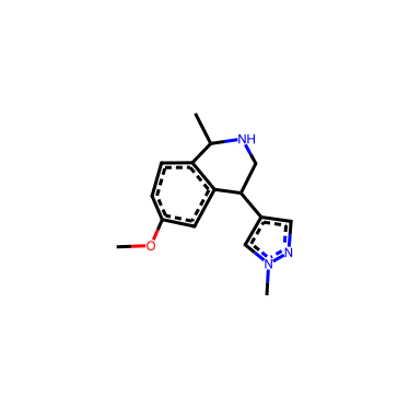 COc1ccc2c(c1)C(c1cnn(C)c1)CNC2C